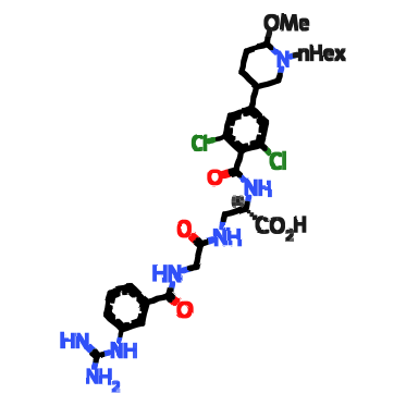 CCCCCCN1CC(c2cc(Cl)c(C(=O)N[C@@H](CNC(=O)CNC(=O)c3cccc(NC(=N)N)c3)C(=O)O)c(Cl)c2)CCC1OC